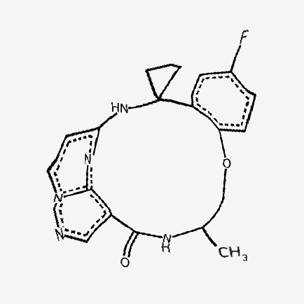 CC1COc2ccc(F)cc2C2(CC2)Nc2ccn3ncc(c3n2)C(=O)N1